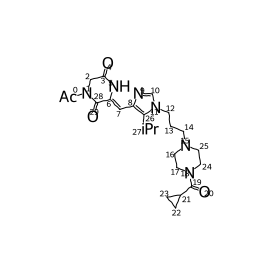 CC(=O)N1CC(=O)N/C(=C\c2ncn(CCCN3CCN(C(=O)C4CC4)CC3)c2C(C)C)C1=O